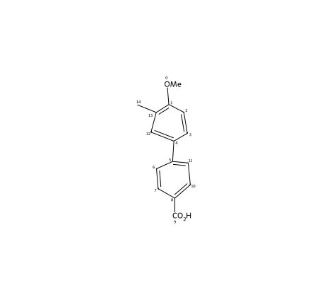 COc1ccc(-c2ccc(C(=O)O)cc2)cc1C